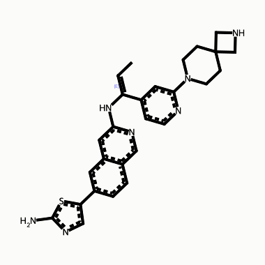 C/C=C(/Nc1cc2cc(-c3cnc(N)s3)ccc2cn1)c1ccnc(N2CCC3(CC2)CNC3)c1